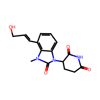 Cn1c(=O)n(C2CCC(=O)NC2=O)c2cccc(C=CCO)c21